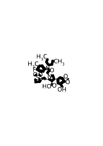 CCCC(CCC)N(C(=O)CN1C[C@H](c2cc(CO)c3c(c2)OCO3)[C@@H](C(=O)O)[C@@H]1CCN1CCCS1(=O)=O)c1ccc(F)c(C)c1